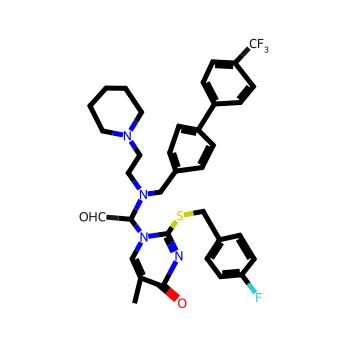 Cc1cn(C(C=O)N(CCN2CCCCC2)Cc2ccc(-c3ccc(C(F)(F)F)cc3)cc2)c(SCc2ccc(F)cc2)nc1=O